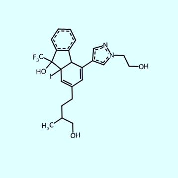 CC(CO)CCC1=CC2(I)C(C(c3cnn(CCO)c3)=C1)c1ccccc1C2(O)C(F)(F)F